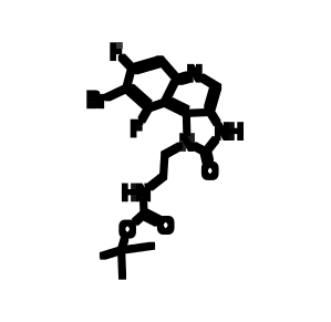 CC(C)(C)OC(=O)NCCn1c(=O)[nH]c2cnc3cc(F)c(Br)c(F)c3c21